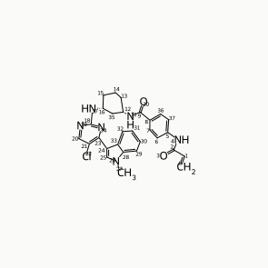 C=CC(=O)Nc1ccc(C(=O)N[C@H]2CCC[C@@H](Nc3ncc(Cl)c(-c4cn(C)c5ccccc45)n3)C2)cc1